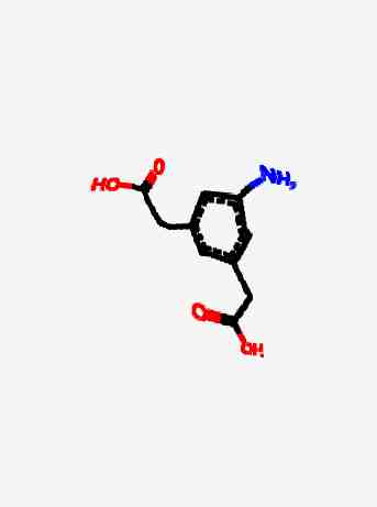 Nc1cc(CC(=O)O)cc(CC(=O)O)c1